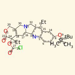 CCc1c2c(nc3ccc(O[Si](C)(C)C(C)(C)C)cc13)C1=CC3=C(COC(=O)C3(CC)OC(=O)Cl)CN1C2